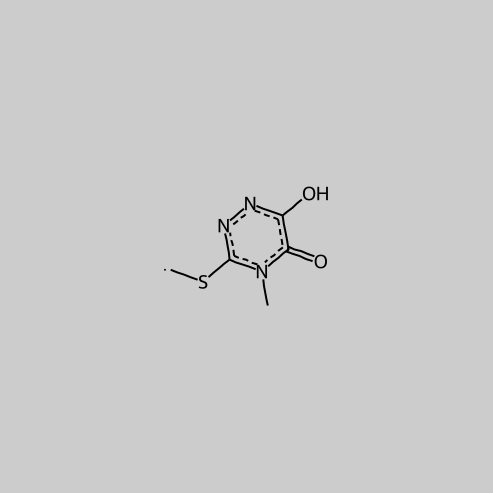 [CH2]Sc1nnc(O)c(=O)n1C